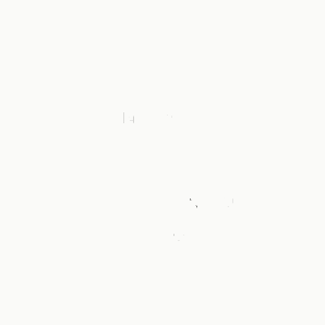 C=C(Br)/C=C(\C=C(C)C)[N+](=O)[O-]